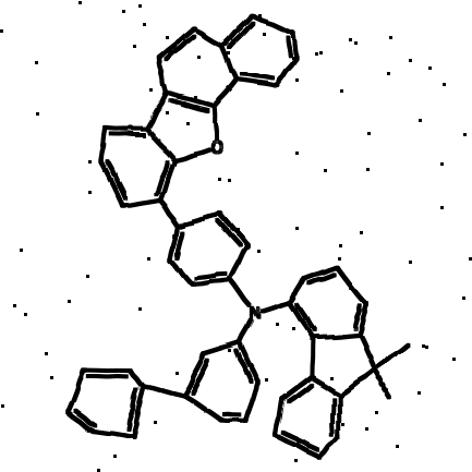 CC1(C)c2ccccc2-c2c(N(c3ccc(-c4cccc5c4oc4c6ccccc6ccc54)cc3)c3cccc(-c4ccccc4)c3)cccc21